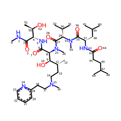 CNC(=O)[C@@H](NC(=O)[C@H]([C@H](O)[C@H](C)CCN(C)CCc1ccccn1)N(C)C(=O)[C@H](C(C)C)N(C)C(=O)[C@H](CC(C)C)NC(=O)CCC(C)C)[C@@H](C)O